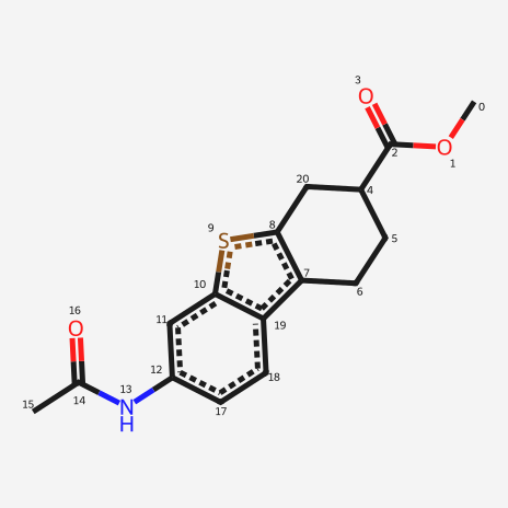 COC(=O)C1CCc2c(sc3cc(NC(C)=O)ccc23)C1